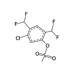 CS(=O)(=O)Oc1[c]c(Cl)c(C(F)F)cc1C(F)F